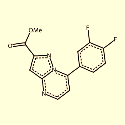 COC(=O)c1cc2nccc(-c3ccc(F)c(F)c3)n2n1